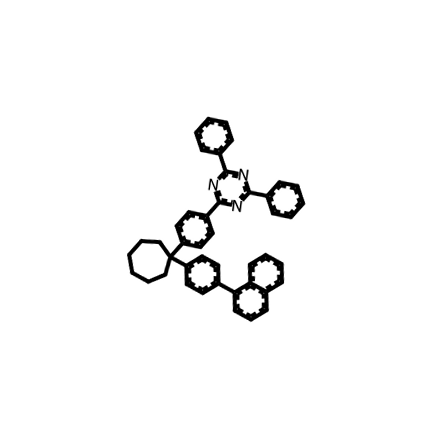 c1ccc(-c2nc(-c3ccccc3)nc(-c3ccc(C4(c5ccc(-c6cccc7ccccc67)cc5)CCCCCC4)cc3)n2)cc1